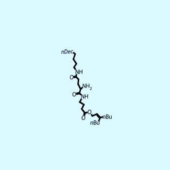 CCCCCCCCCCCCCCNC(=O)CCC(N)C(=O)NCCCC(=O)OCC=C(CCCC)CCCC